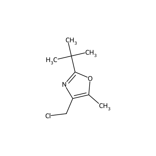 Cc1oc(C(C)(C)C)nc1CCl